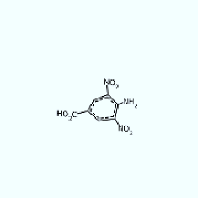 Nc1c([N+](=O)[O-])cc(C(=O)O)cc1[N+](=O)[O-]